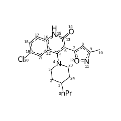 CCCC1CCN(c2c(-c3cc(C)no3)c(=O)[nH]c3ccc(Cl)cc23)CC1